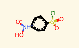 O=S(=O)(Cl)c1ccc([NH+]([O-])O)cc1